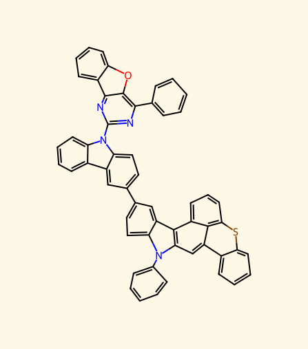 c1ccc(-c2nc(-n3c4ccccc4c4cc(-c5ccc6c(c5)c5c7cccc8c7c(cc5n6-c5ccccc5)-c5ccccc5S8)ccc43)nc3c2oc2ccccc23)cc1